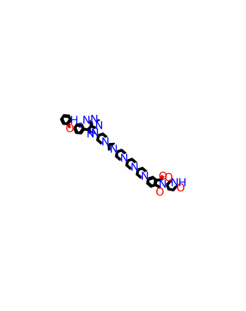 Nc1ncnc2c1c(-c1ccc(Oc3ccccc3)cc1)nn2C1CCN(C2CN(C3CCN(C4CCN(C5CCN(c6ccc7c(c6)C(=O)N(C6CCC(=O)NC6=O)C7=O)CC5)CC4)CC3)C2)CC1